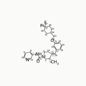 CC1CN(C(=O)Nc2cccnc2)CC/C1=C\c1cccc(OCC2CCC(F)(F)CC2)c1